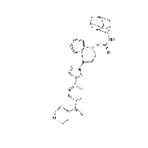 O=C(NC1C2CC3CC(C2)CC1C3)ON1CCN(c2nc(-c3ccc(C(=O)N4CCOCC4)cc3)cs2)c2ccccc21